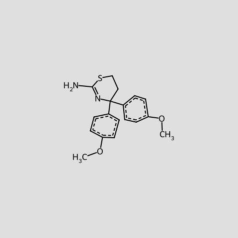 COc1ccc(C2(c3ccc(OC)cc3)CCSC(N)=N2)cc1